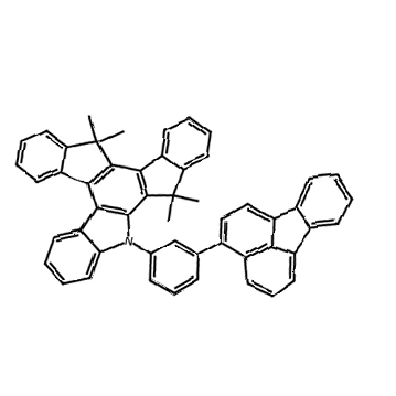 CC1(C)c2ccccc2-c2c1c1c(c3c2c2ccccc2n3-c2cccc(-c3ccc4c5c(cccc35)-c3ccccc3-4)c2)C(C)(C)c2ccccc2-1